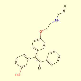 C=CCNCCOc1ccc(/C(=C(/CC)c2ccccc2)c2cccc(O)c2)cc1